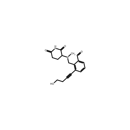 CN(Cc1c(C#CCCO)cccc1C=O)C1CCC(=O)NC1=O